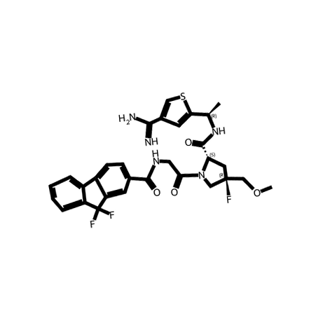 COC[C@@]1(F)C[C@@H](C(=O)N[C@H](C)c2cc(C(=N)N)cs2)N(C(=O)CNC(=O)c2ccc3c(c2)C(F)(F)c2ccccc2-3)C1